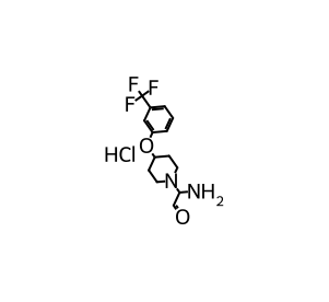 Cl.NC(C=O)N1CCC(Oc2cccc(C(F)(F)F)c2)CC1